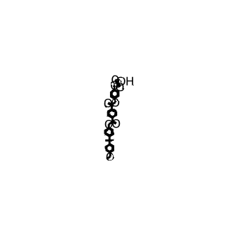 COc1ccc(C(C)(C)c2ccc(OC(=O)c3ccc(C(=O)Oc4ccc(OS(=O)(=O)O)cc4)cc3)cc2)cc1